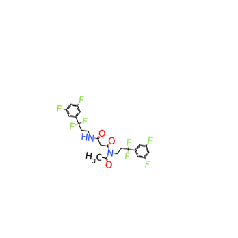 CC(=O)N(CCC(F)(F)c1cc(F)cc(F)c1)C(=O)CC(=O)NCCC(F)(F)c1cc(F)cc(F)c1